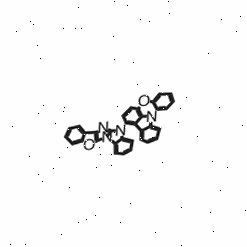 c1ccc2c(c1)Oc1ccc(-n3c4ccccc4n4c5oc6ccccc6c5nc34)c3c4ccccc4n-2c13